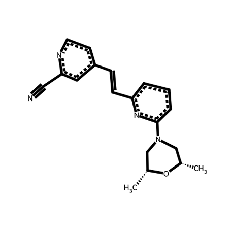 C[C@@H]1CN(c2cccc(C=Cc3ccnc(C#N)c3)n2)C[C@H](C)O1